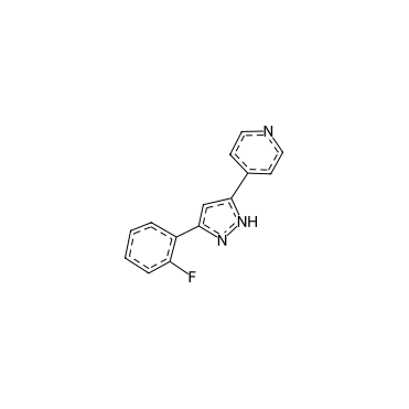 Fc1ccccc1-c1cc(-c2ccncc2)[nH]n1